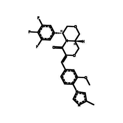 COc1cc(C=C2OC[C@H]3COC[C@@H](c4cc(F)c(F)c(F)c4)N3C2=O)ccc1-n1cnc(C)c1